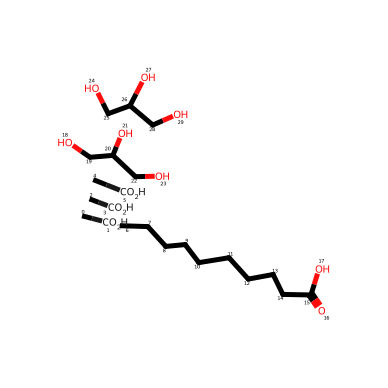 CC(=O)O.CC(=O)O.CC(=O)O.CCCCCCCCCC(=O)O.OCC(O)CO.OCC(O)CO